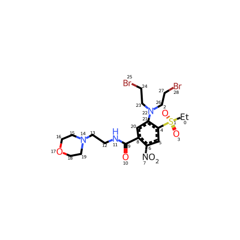 CCS(=O)(=O)c1cc([N+](=O)[O-])c(C(=O)NCCN2CCOCC2)cc1N(CCBr)CCBr